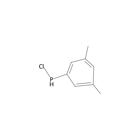 Cc1cc(C)cc(PCl)c1